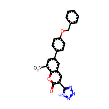 O=c1oc2c([N+](=O)[O-])cc(-c3ccc(OCc4ccccc4)cc3)cc2cc1-c1nnn[nH]1